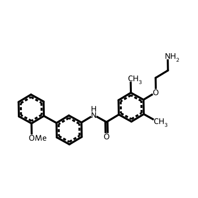 COc1ccccc1-c1cccc(NC(=O)c2cc(C)c(OCCN)c(C)c2)c1